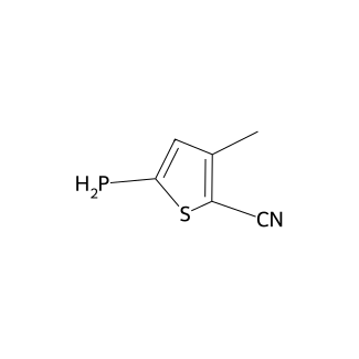 Cc1cc(P)sc1C#N